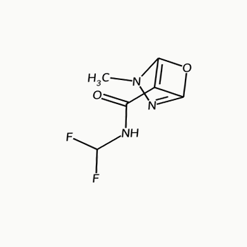 Cn1nc2c(C(=O)NC(F)F)c1O2